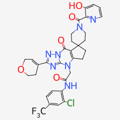 O=C(Cn1c2c(c(=O)n3nc(C4=CCOCC4)nc13)C1(CC2)CCN(C(=O)c2ncccc2O)CC1)Nc1ccc(C(F)(F)F)cc1Cl